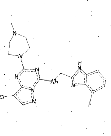 CN1CCN(c2nc(NCc3nc4c(F)cccc4[nH]3)n3ncc(Cl)c3n2)CC1